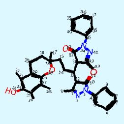 CC1=NN(c2ccccc2)C(=O)C1C(CCC1(C)CCc2c(C)c(O)c(C)c(C)c2O1)C1C(=O)N(c2ccccc2)N=C1C